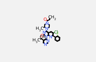 C=CC(=O)N1CCN(c2nc(=O)n(-c3ncncc3C(C)C)c3nc(-c4ccccc4F)c(Cl)cc23)C(C)C1